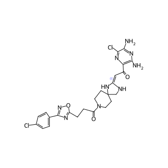 Nc1nc(N)c(C(=O)/C=C2\NCC3(CCN(C(=O)CCc4nc(-c5ccc(Cl)cc5)no4)CC3)N2)nc1Cl